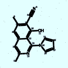 Cc1cc2cc(C)c(C#N)c(O)c2c(-n2cccc2)n1